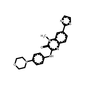 Cn1c(=O)c(Nc2ccc(N3CCOCC3)cc2)nc2ccc(-c3nccs3)cc21